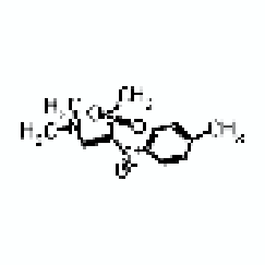 Cc1ccc([S+]([O-])C(=CN(C)C)S(C)(=O)=O)cc1